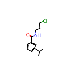 CC(C)c1cccc(C(=O)NCCCCl)c1